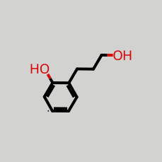 OCCCc1cc[c]cc1O